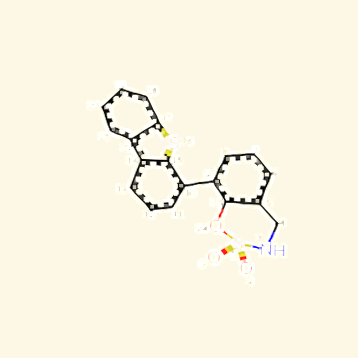 O=S1(=O)NCc2cccc(-c3cccc4c3sc3ccccc34)c2O1